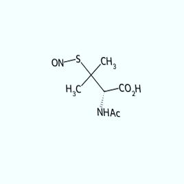 CC(=O)N[C@@H](C(=O)O)C(C)(C)S[15N]=O